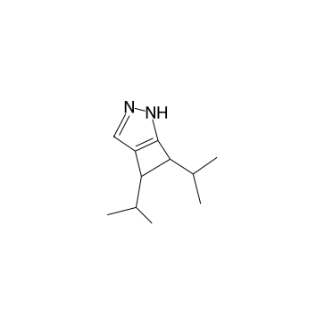 CC(C)C1c2cn[nH]c2C1C(C)C